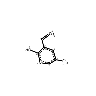 C=Cc1cc(C(F)(F)F)cnc1O